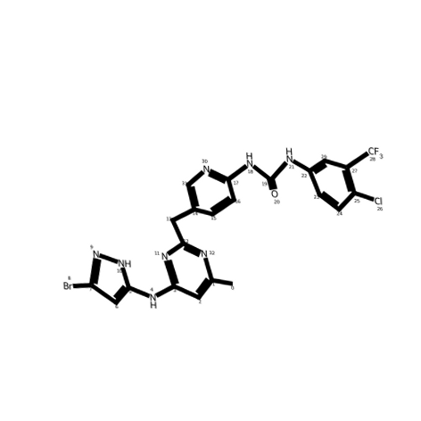 Cc1cc(Nc2cc(Br)n[nH]2)nc(Cc2ccc(NC(=O)Nc3ccc(Cl)c(C(F)(F)F)c3)nc2)n1